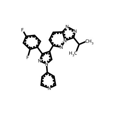 CC(C)c1nnc2ccc(-c3cn(-c4ccncc4)nc3-c3ccc(F)cc3F)nn12